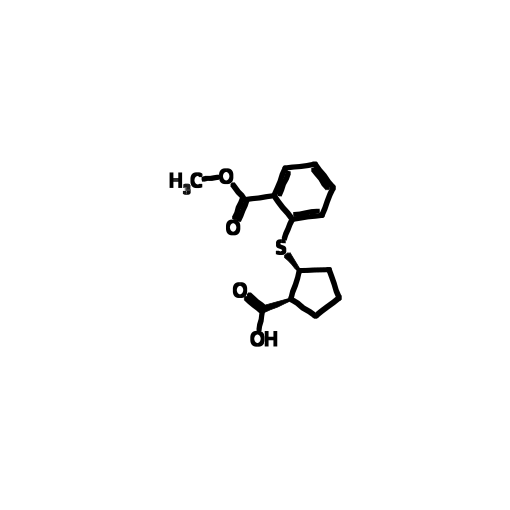 COC(=O)c1ccccc1S[C@H]1CCC[C@H]1C(=O)O